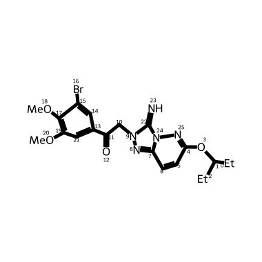 CCC(CC)Oc1ccc2nn(CC(=O)c3cc(Br)c(OC)c(OC)c3)c(=N)n2n1